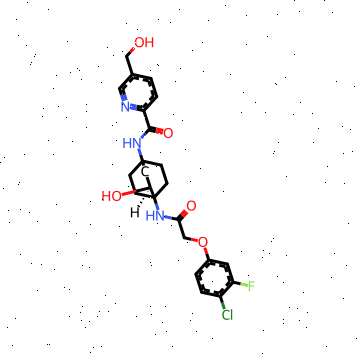 O=C(COc1ccc(Cl)c(F)c1)NC12CCC(NC(=O)c3ccc(CO)cn3)(CC1)C[C@@H]2O